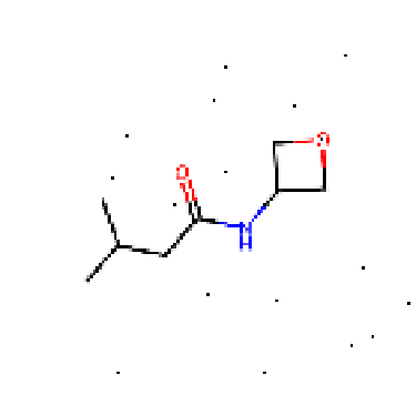 CC(C)CC(=O)NC1COC1